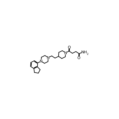 NC(=O)CCC(=O)N1CCC(CCN2CCN(c3cccc4c3CCC4)CC2)CC1